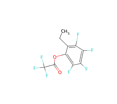 CCc1c(F)c(F)c(F)c(F)c1OC(=O)C(F)(F)F